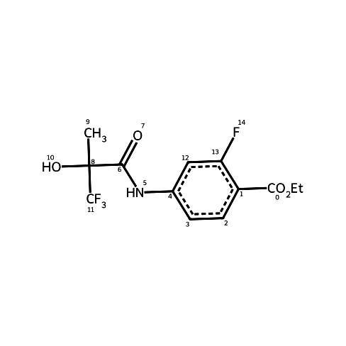 CCOC(=O)c1ccc(NC(=O)C(C)(O)C(F)(F)F)cc1F